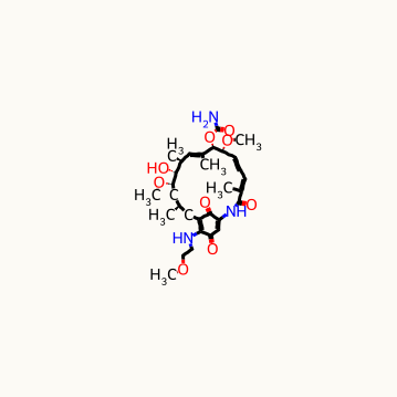 COCCNC1=C2C[C@@H](C)C[C@H](OC)[C@H](O)[C@@H](C)/C=C(\C)[C@H](OC(N)=O)[C@H](OC)/C=C\C=C(/C)C(=O)NC(=CC1=O)C2=O